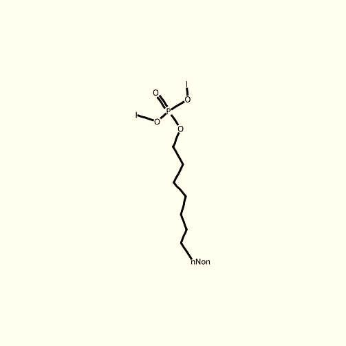 CCCCCCCCCCCCCCCCOP(=O)(OI)OI